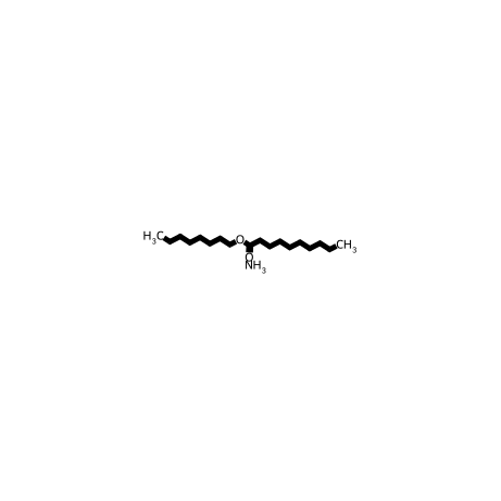 CCCCCCCCCC(=O)OCCCCCCCC.N